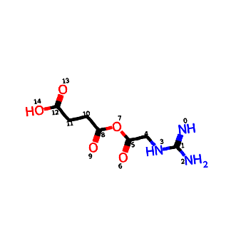 N=C(N)NCC(=O)OC(=O)CCC(=O)O